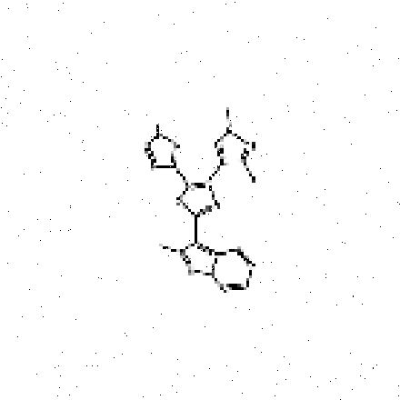 Cc1nn(C)cc1-c1nc(-c2c(C)nn3ccccc23)sc1-c1nc[nH]n1